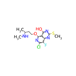 CNC(C)CCOc1nc(Cl)c(F)c2nc(SC)nc(O)c12